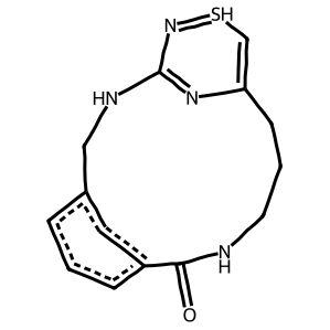 O=C1NCCCC2=C[SH]=NC(=N2)NCc2cccc1c2